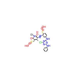 CCn1c(O)c(/N=N/c2cc(Nc3nc(Cl)nc(Nc4ccccc4)n3)ccc2SOOO)c(C)c(CSOOO)c1=O